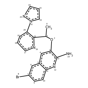 CC(Oc1cc2cc(Br)ccc2nc1N)c1ncccc1-n1cccn1